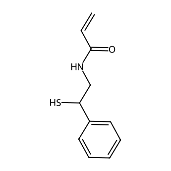 C=CC(=O)NCC(S)c1ccccc1